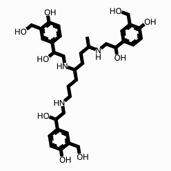 CC(CCC(CCCNCC(O)c1ccc(O)c(CO)c1)NCC(O)c1ccc(O)c(CO)c1)NCC(O)c1ccc(O)c(CO)c1